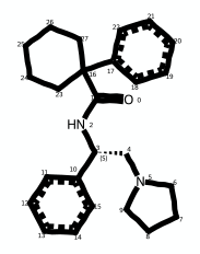 O=C(N[C@H](CN1CCCC1)c1ccccc1)C1(c2ccccc2)CCCCC1